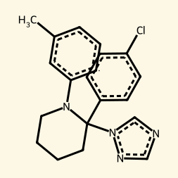 Cc1cc[c]c(N2CCCCC2(c2ccc(Cl)cc2)n2cncn2)c1